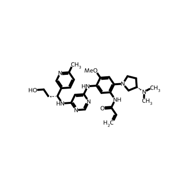 C=CC(=O)Nc1cc(Nc2cc(N[C@H](CCO)c3ccc(C)nc3)ncn2)c(OC)cc1N1CC[C@H](N(C)C)C1